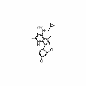 CCCN(CC1CC1)c1nc(C)[nH]c2c(-c3ccc(Cl)cc3Cl)nc(C)c1-2